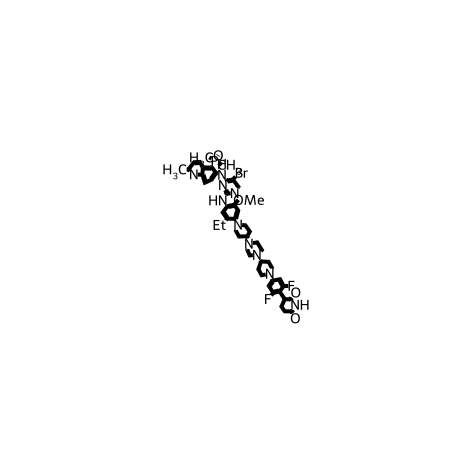 CCc1cc(Nc2ncc(Br)c(Nc3ccc4nc(C)ccc4c3P(C)(C)=O)n2)c(OC)cc1N1CCC(N2CCN(C3CCN(c4cc(F)c(C5CCC(=O)NC5=O)c(F)c4)CC3)CC2)CC1